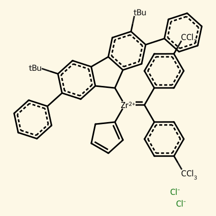 CC(C)(C)c1cc2c(cc1-c1ccccc1)[CH]([Zr+2]([C]1=CC=CC1)=[C](c1ccc(C(Cl)(Cl)Cl)cc1)c1ccc(C(Cl)(Cl)Cl)cc1)c1cc(-c3ccccc3)c(C(C)(C)C)cc1-2.[Cl-].[Cl-]